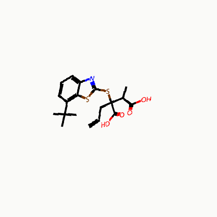 C=CCC(Sc1nc2cccc(C(C)(C)C)c2s1)(C(=O)O)C(C)C(=O)O